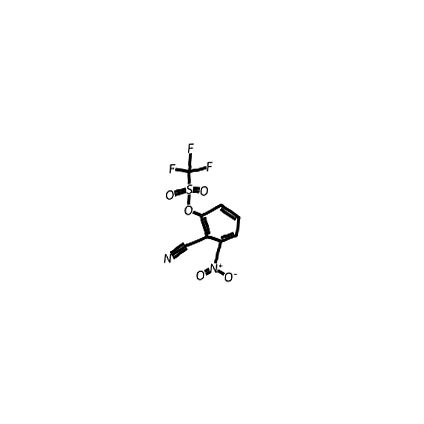 N#Cc1c(OS(=O)(=O)C(F)(F)F)cccc1[N+](=O)[O-]